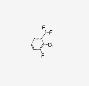 Fc1cccc(C(F)F)c1Cl